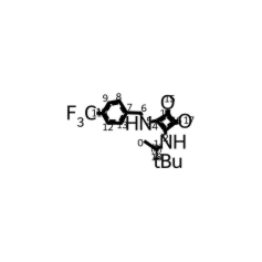 C[C@@H](Nc1c(NCc2ccc(C(F)(F)F)cc2)c(=O)c1=O)C(C)(C)C